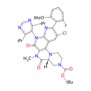 COc1cccc(F)c1-c1nc2c(cc1Cl)c1c(c(=O)n2-c2c(C(C)C)ncnc2C(C)C)N(C)C(=O)[C@H]2CN(C(=O)OC(C)(C)C)CCN12